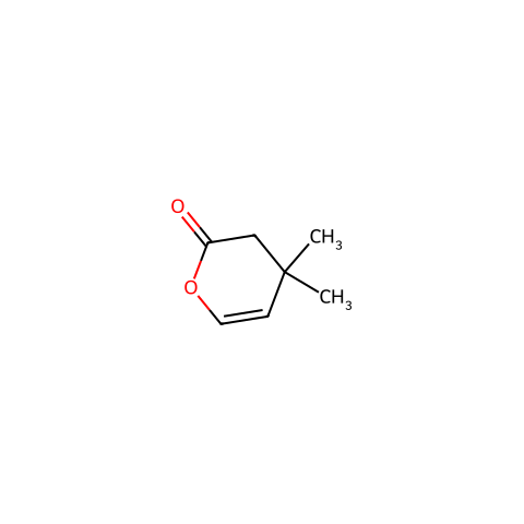 CC1(C)C=COC(=O)C1